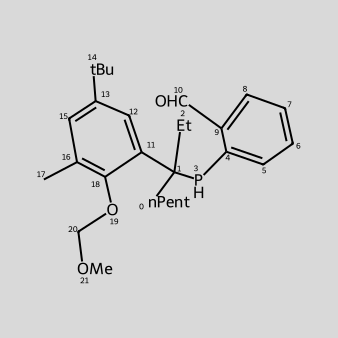 CCCCCC(CC)(Pc1ccccc1C=O)c1cc(C(C)(C)C)cc(C)c1OCOC